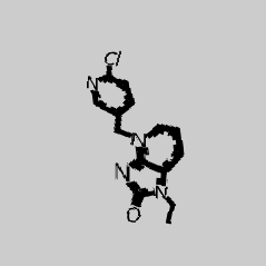 CCn1c2cccn(Cc3ccc(Cl)nc3)c-2nc1=O